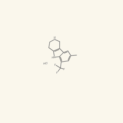 Cc1cc(C(F)(F)F)c2[nH]c3c(c2c1)CNCC3.Cl